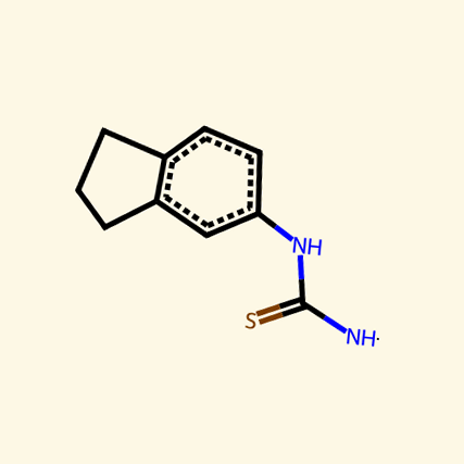 [NH]C(=S)Nc1ccc2c(c1)CCC2